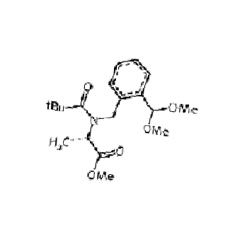 COC(=O)[C@H](C)N(Cc1ccccc1C(OC)OC)C(=O)C(C)(C)C